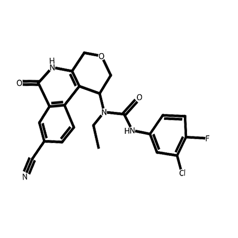 CCN(C(=O)Nc1ccc(F)c(Cl)c1)C1COCc2[nH]c(=O)c3cc(C#N)ccc3c21